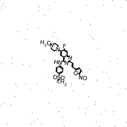 CN1CCN(c2cc3c(Nc4ccc(S(C)(=O)=O)cc4)nc(/C=C/c4ccc(N=O)o4)nc3cc2F)CC1